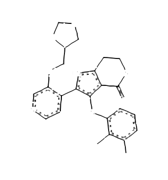 Cc1c(F)cccc1Nc1c(-c2ccncc2OCC2COCO2)[nH]c2c1C(=O)NCC2